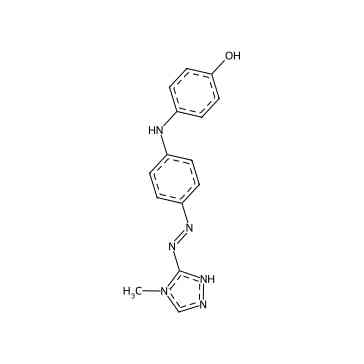 C[n+]1cn[nH]c1N=Nc1ccc(Nc2ccc(O)cc2)cc1